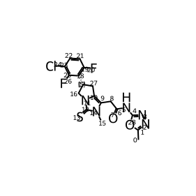 Cc1nnc(NC(=O)Cc2c3n(c(=S)n2C)C[C@H](c2c(F)ccc(Cl)c2F)C3)o1